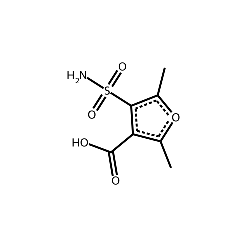 Cc1oc(C)c(S(N)(=O)=O)c1C(=O)O